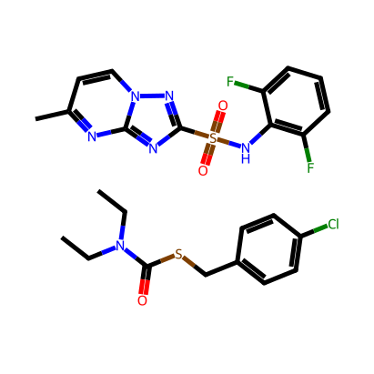 CCN(CC)C(=O)SCc1ccc(Cl)cc1.Cc1ccn2nc(S(=O)(=O)Nc3c(F)cccc3F)nc2n1